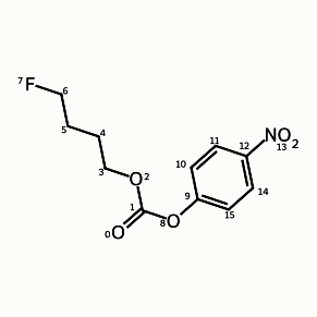 O=C(OCCCCF)Oc1ccc([N+](=O)[O-])cc1